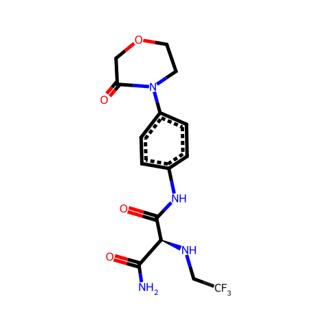 NC(=O)[C@H](NCC(F)(F)F)C(=O)Nc1ccc(N2CCOCC2=O)cc1